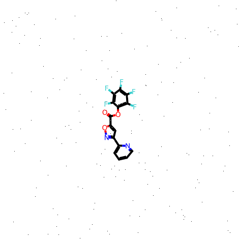 O=C(Oc1c(F)c(F)c(F)c(F)c1F)c1cc(-c2ccccn2)no1